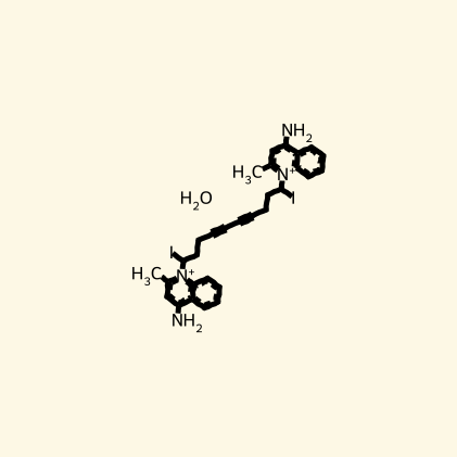 Cc1cc(N)c2ccccc2[n+]1C(I)CCC#CC#CCCC(I)[n+]1c(C)cc(N)c2ccccc21.O